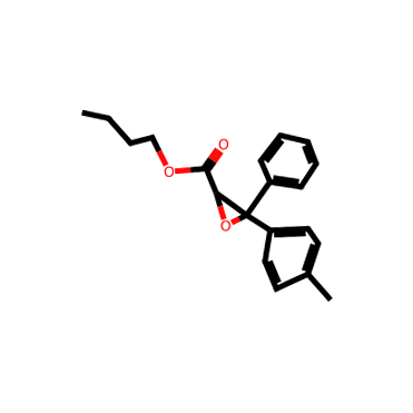 CCCCOC(=O)C1OC1(c1ccccc1)c1ccc(C)cc1